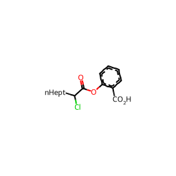 CCCCCCCC(Cl)C(=O)Oc1ccccc1C(=O)O